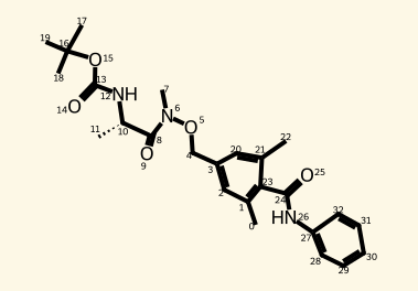 Cc1cc(CON(C)C(=O)[C@H](C)NC(=O)OC(C)(C)C)cc(C)c1C(=O)Nc1ccccc1